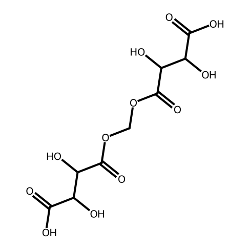 O=C(O)C(O)C(O)C(=O)OCOC(=O)C(O)C(O)C(=O)O